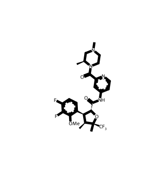 COc1c([C@H]2[C@H](C(=O)Nc3ccnc(C(=O)N4CCN(C)C[C@@H]4C)c3)O[C@@](C)(C(F)(F)F)[C@H]2C)ccc(F)c1F